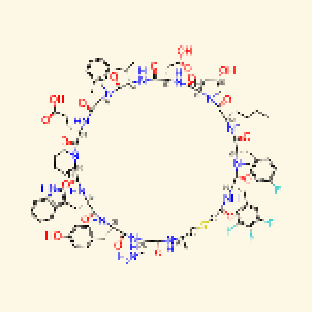 CCCC[C@H]1C(=O)N2C[C@@H](O)C[C@@H]2C(=O)N[C@@H](CC(=O)O)C(=O)N[C@@H](C(C)C)C(=O)N(C)[C@@H](Cc2ccccc2)C(=O)N[C@@H](CCC(=O)O)C(=O)N2CCCC[C@@H]2C(=O)N[C@@H](Cc2c[nH]c3ccccc23)C(=O)N[C@@H](Cc2ccc(O)cc2)C(=O)N[C@@H](CN)C(=O)N[C@H](C)CSCC(=O)N[C@@H](Cc2cc(F)c(F)c(F)c2)C(=O)N(C)[C@@H](Cc2ccc(F)cc2)C(=O)N1C